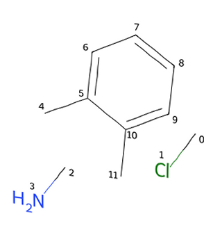 CCl.CN.Cc1ccccc1C